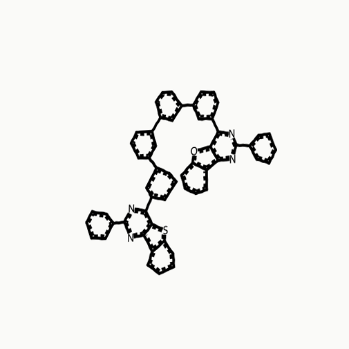 c1ccc(-c2nc(-c3cccc(-c4cccc(-c5cccc(-c6cccc(-c7nc(-c8ccccc8)nc8c7sc7ccccc78)c6)c5)c4)c3)c3oc4ccccc4c3n2)cc1